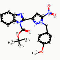 COc1ccc(Cn2nc(-c3nc4ccccc4n3C(=O)OC(C)(C)C)cc2[N+](=O)[O-])cc1